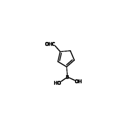 O=CC1=CC(B(O)O)=CC1